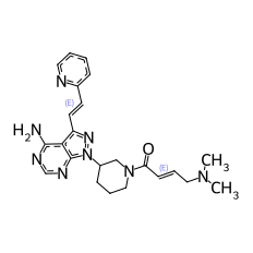 CN(C)C/C=C/C(=O)N1CCCC(n2nc(/C=C/c3ccccn3)c3c(N)ncnc32)C1